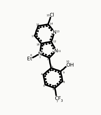 CCn1c(-c2ccc(C(F)(F)F)cc2O)nc2nc(Cl)ccc21